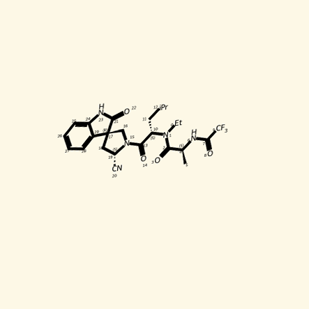 CCN(C(=O)[C@H](C)NC(=O)C(F)(F)F)[C@@H](CC(C)C)C(=O)N1C[C@]2(C[C@H]1C#N)C(=O)Nc1ccccc12